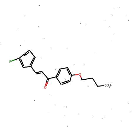 O=C(O)CCCOc1ccc(C(=O)/C=C/c2cccc(F)c2)cc1